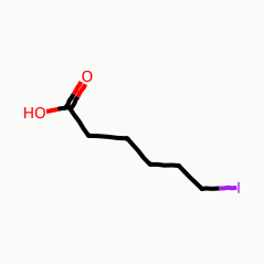 O=C(O)CCCCCI